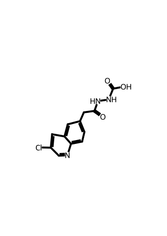 O=C(O)NNC(=O)Cc1ccc2ncc(Cl)cc2c1